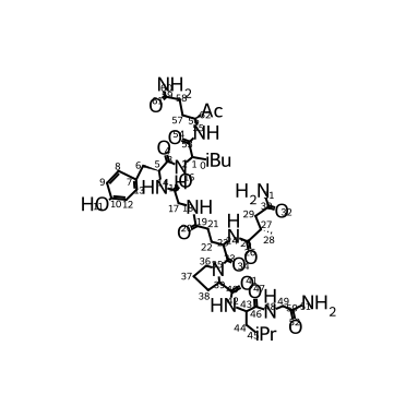 CCC(C)C(NC(=O)[C@H](Cc1ccc(O)cc1)NC(=O)CNC(=O)CCC(NC(=O)[C@@H](C)CC(N)=O)C(=O)N1CCCC1C(=O)NC(CC(C)C)C(=O)NCC(N)=O)C(=O)N[C@@H](CCC(N)=O)C(C)=O